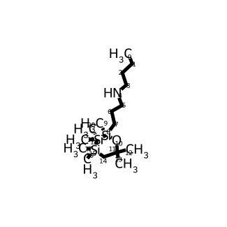 CCCCNCCC[Si]1(C)OC(C)(C)C[Si](C)(C)[Si]1(C)C